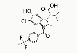 Cc1c(C(C(=O)O)C(C)C)c2cc(O)c(Cl)cc2n1C(=O)c1ccc(C(F)(F)F)cc1